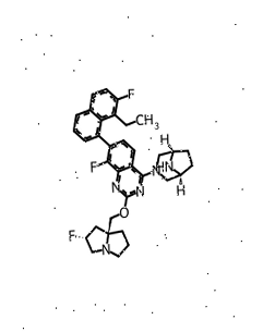 CCc1c(F)ccc2cccc(-c3ccc4c(N5C[C@H]6CC[C@@H](C5)N6)nc(OC[C@@]56CCCN5C[C@H](F)C6)nc4c3F)c12